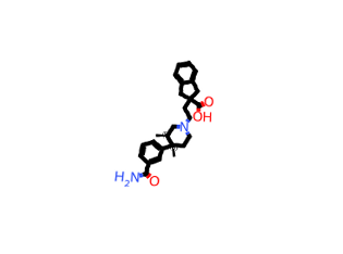 C[C@H]1CN(CCC2(C(=O)O)Cc3ccccc3C2)CC[C@]1(C)c1cccc(C(N)=O)c1